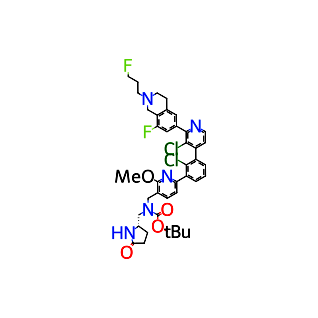 COc1nc(-c2cccc(-c3ccnc(-c4cc(F)c5c(c4)CCN(CCCF)C5)c3Cl)c2Cl)ccc1CN(C[C@@H]1CCC(=O)N1)C(=O)OC(C)(C)C